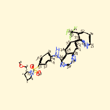 COC[C@@H]1CCCN1S(=O)(=O)c1ccc(Nc2ncnc3cc(-c4ncccc4C(F)(F)F)ccc23)cc1